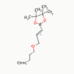 CC1(C)OB(/C=C/COCCCC=O)OC1(C)C